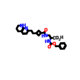 O=C(NC(CNC(=O)C1CC(CCc2ccc3c(n2)NCCC3)C1)C(=O)O)OCc1ccccc1